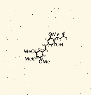 C=C(C)CCc1c(O)cc(/C=C/c2cc(OC)c(OC)c(OC)c2)cc1OC